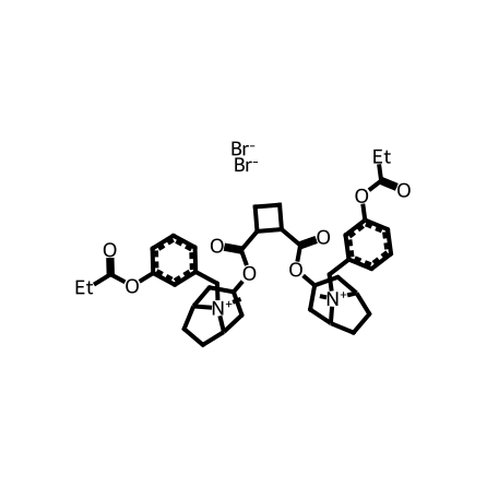 CCC(=O)Oc1cccc(C[N+]2(C)C3CCC2CC(OC(=O)C2CCC2C(=O)OC2CC4CCC(C2)[N+]4(C)Cc2cccc(OC(=O)CC)c2)C3)c1.[Br-].[Br-]